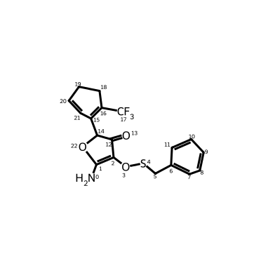 NC1=C(OSCc2ccccc2)C(=O)C(C2=C(C(F)(F)F)CCC=C2)O1